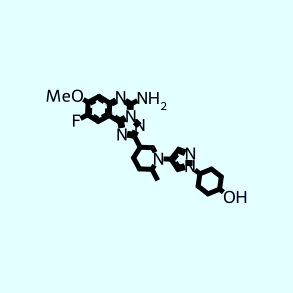 COc1cc2nc(N)n3nc(C4CCC(C)N(c5cnn(C6CCC(O)CC6)c5)C4)nc3c2cc1F